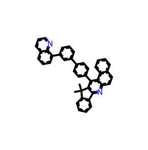 CC1(C)c2ccccc2-c2nc3ccc4ccccc4c3c(-c3ccc(-c4cccc(-c5cccc6cccnc56)c4)cc3)c21